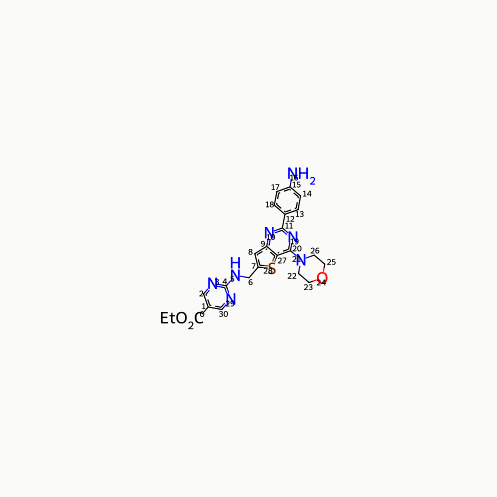 CCOC(=O)c1cnc(NCc2cc3nc(-c4ccc(N)cc4)nc(N4CCOCC4)c3s2)nc1